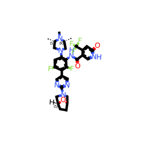 C[C@@H]1CN(c2cc(F)c(-c3cnc(N4CC5CC[C@@H](C4)O5)nc3)c(F)c2NC(=O)c2c[nH]c(=O)cc2C(F)(F)F)C[C@H](C)N1C